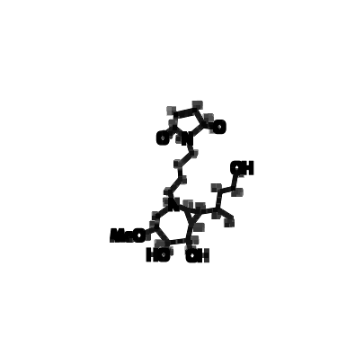 COC1CN(CCCCN2C(=O)C=CC2=O)C2C(C(C)CCO)C2C(O)C1O